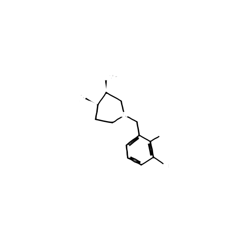 CO[C@H]1CN(Cc2cccc(Cl)c2Cl)CC[C@H]1N